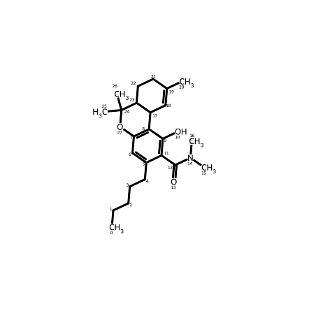 CCCCCc1cc2c(c(O)c1C(=O)N(C)C)C1C=C(C)CCC1C(C)(C)O2